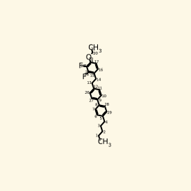 CCCCCc1ccc(-c2ccc(CCc3ccc(OCC)c(F)c3F)cc2)cc1